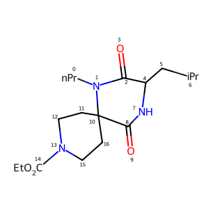 CCCN1C(=O)C(CC(C)C)NC(=O)C12CCN(C(=O)OCC)CC2